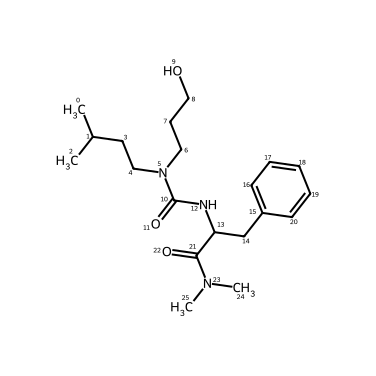 CC(C)CCN(CCCO)C(=O)NC(Cc1ccccc1)C(=O)N(C)C